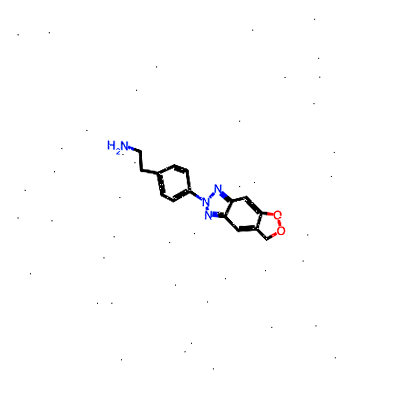 NCCc1ccc(-n2nc3cc4c(cc3n2)OOC4)cc1